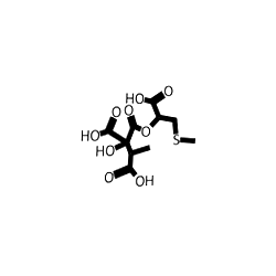 CSCC(OC(=O)C(O)(C(=O)O)C(C)C(=O)O)C(=O)O